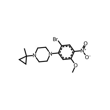 COc1cc(N2CCN(C3(C)CC3)CC2)c(Br)cc1[N+](=O)[O-]